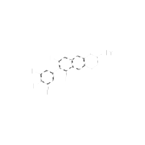 CCCC1CCc2cc3c(F)c(-c4cc(F)c(F)c(F)c4)c(F)cc3cc2C1